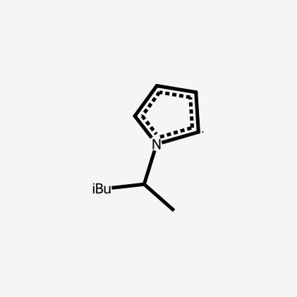 CCC(C)C(C)n1[c]ccc1